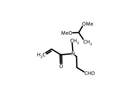 C=CC(=O)N(C)CCC=O.COC(C)OC